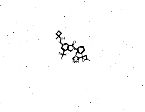 C[C@@H]1C[C@@](c2cccc(N3Cc4c(cc(CNC5(C)CCC5)cc4C(F)(F)F)C3=O)c2)(c2nncn2C)O1